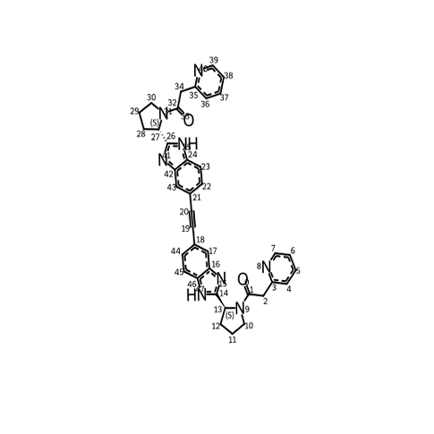 O=C(Cc1ccccn1)N1CCC[C@H]1c1nc2cc(C#Cc3ccc4[nH]c([C@@H]5CCCN5C(=O)Cc5ccccn5)nc4c3)ccc2[nH]1